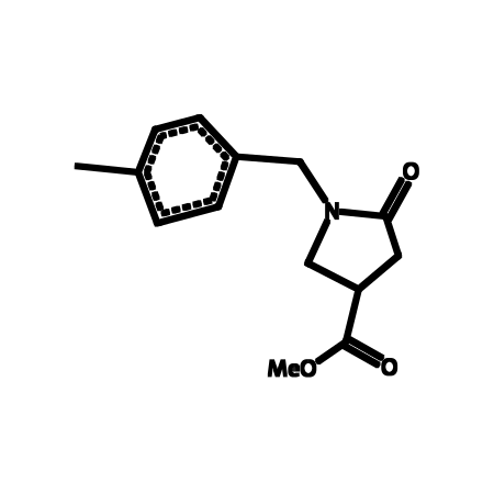 COC(=O)C1CC(=O)N(Cc2ccc(C)cc2)C1